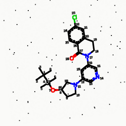 CC(C)(C)[Si](C)(C)O[C@@H]1CCN(c2cncc(N3CCc4cc(Cl)ccc4C3=O)c2)C1